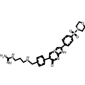 N=C(N)NCCCNCc1ccc(-c2cn3cc(-c4ccc(S(=O)(=O)N5CCOCC5)cc4)[nH]c3nc2=O)cc1